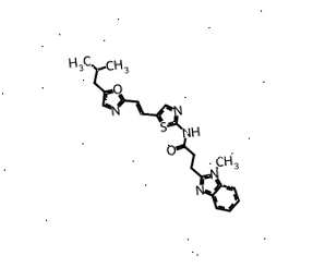 CC(C)Cc1cnc(/C=C/c2cnc(NC(=O)CCc3nc4ccccc4n3C)s2)o1